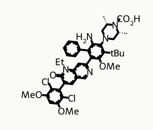 CCn1c(=O)c(-c2c(Cl)c(OC)cc(OC)c2Cl)cc2cnc(-c3c(OC)c(C(C)(C)C)c(N4C[C@@H](C)N(C(=O)O)[C@@H](C)C4)c(N)c3-c3ccccc3)cc21